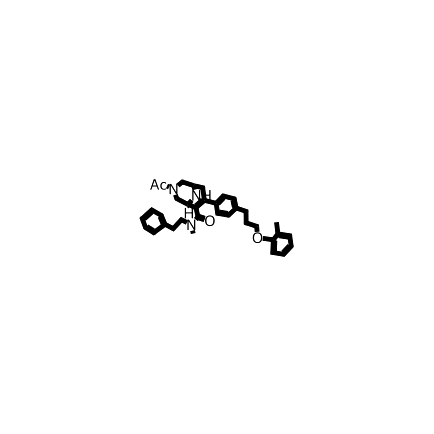 CC(=O)N1CC2CC(c3ccc(CCCOc4ccccc4C)cc3)=C(C(=O)N(C)CCc3ccccc3)[C@@H](C1)N2